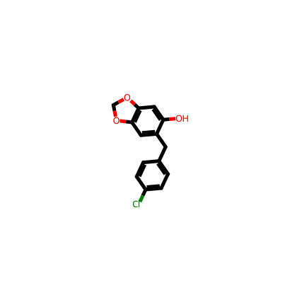 Oc1cc2c(cc1Cc1ccc(Cl)cc1)OCO2